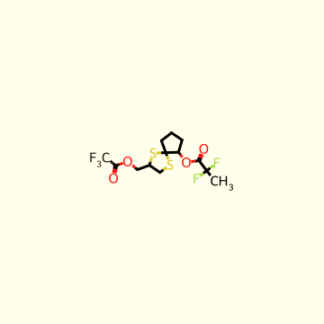 CC(F)(F)C(=O)OC1CCCC12SCC(COC(=O)C(F)(F)F)S2